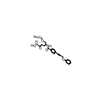 COCOCC(CCC(=O)NO)NC(=O)c1ccc(C#CCOc2ccccc2)cc1